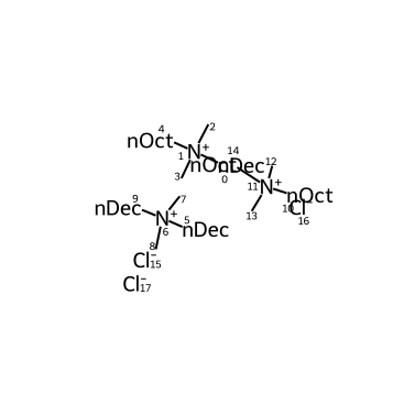 CCCCCCCCCC[N+](C)(C)CCCCCCCC.CCCCCCCCCC[N+](C)(C)CCCCCCCCCC.CCCCCCCC[N+](C)(C)CCCCCCCC.[Cl-].[Cl-].[Cl-]